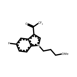 COCCCn1cc(C(=O)C(F)(F)F)c2cc(F)ccc21